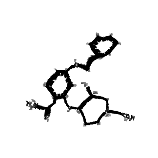 NC(=O)c1ccc(OCc2ccccc2)cc1O[C@@H]1CCN(C(=O)O)C[C@@H]1F